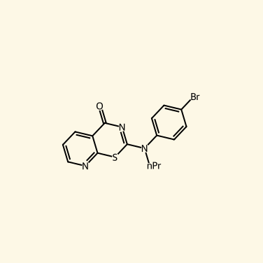 CCCN(c1ccc(Br)cc1)c1nc(=O)c2cccnc2s1